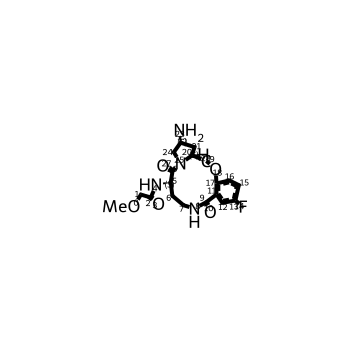 COCC(=O)N[C@H]1CCNC(=O)c2cc(F)ccc2OC[C@@H]2C[C@H](N)CN2C1=O